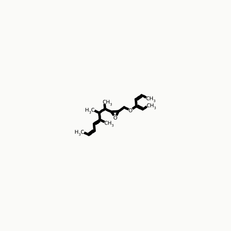 C/C=C\C=C(/C)C(C)C(C)C1OC1COC(/C=C\C)=C/C